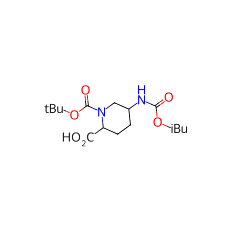 CCC(C)OC(=O)NC1CCC(C(=O)O)N(C(=O)OC(C)(C)C)C1